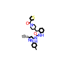 Cc1ccc(-n2nc(C(C)(C)C)cc2NC(=O)Nc2ccccc2CC2CCN(C(=O)c3ccsc3)CC2)cc1